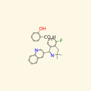 CC1(C)Cc2c(F)cccc2C(c2cnc3ccccc3c2)=N1.O=C(O)c1ccccc1O